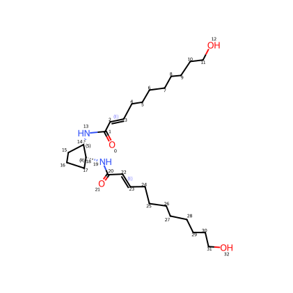 O=C(/C=C/CCCCCCCCO)N[C@H]1CCC[C@H]1NC(=O)/C=C/CCCCCCCCO